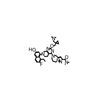 CCc1c(F)ccc2cc(O)cc(N3CCc4c(nc(OCC5(CN(C)C)CC5)nc4N4CCCn5nc(C(=O)N(C)C)cc5C4)C3)c12